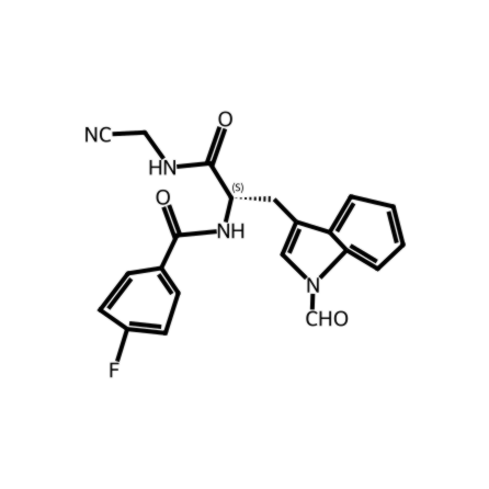 N#CCNC(=O)[C@H](Cc1cn(C=O)c2ccccc12)NC(=O)c1ccc(F)cc1